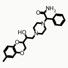 Cc1ccc2c(c1)OCC(C(O)CN1CCN(C(C(N)=O)c3ccccc3)CC1)O2